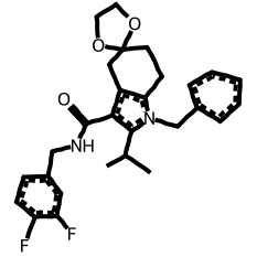 CC(C)c1c(C(=O)NCc2ccc(F)c(F)c2)c2c(n1Cc1ccccc1)CCC1(C2)OCCO1